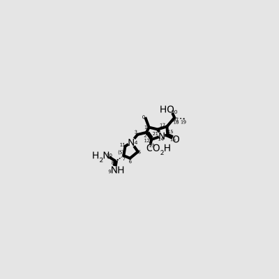 CC1C(CN2CC[C@H](C(=N)N)C2)=C(C(=O)O)N2C(=O)C([C@@H](C)O)C12